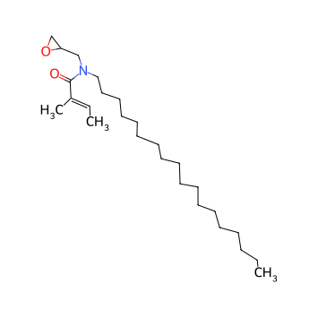 CC=C(C)C(=O)N(CCCCCCCCCCCCCCCCCC)CC1CO1